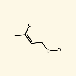 [CH2]COCC=C(C)Cl